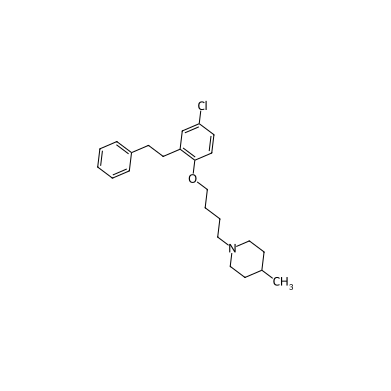 CC1CCN(CCCCOc2ccc(Cl)cc2CCc2ccccc2)CC1